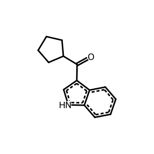 O=C(c1c[nH]c2ccccc12)C1CCCC1